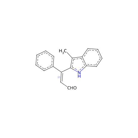 Cc1c(/C(=C\C=O)c2ccccc2)[nH]c2ccccc12